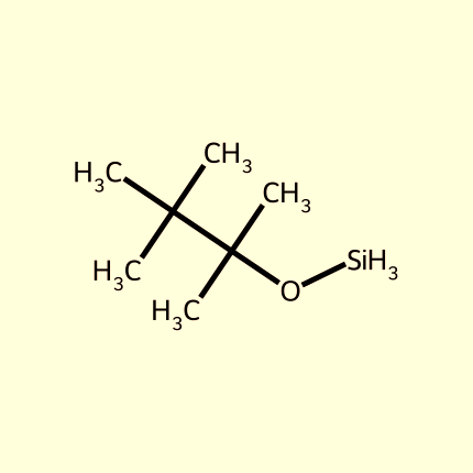 CC(C)(C)C(C)(C)O[SiH3]